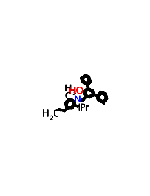 C=CCc1cc(C)c(N=Cc2cc(-c3ccccc3)cc(-c3ccccc3)c2O)c(C(C)C)c1